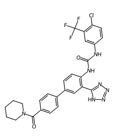 O=C(Nc1ccc(Cl)c(C(F)(F)F)c1)Nc1ccc(-c2ccc(C(=O)N3CCCCC3)cc2)cc1-c1nnn[nH]1